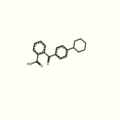 O=C(O)c1ccccc1C(=O)c1ccc(C2CCCCC2)cc1